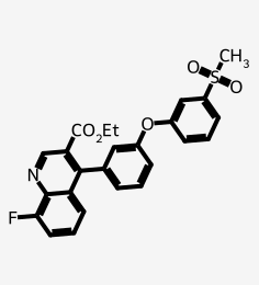 CCOC(=O)c1cnc2c(F)cccc2c1-c1cccc(Oc2cccc(S(C)(=O)=O)c2)c1